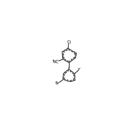 N#Cc1cc(Cl)ccc1-c1cc(Br)ccc1F